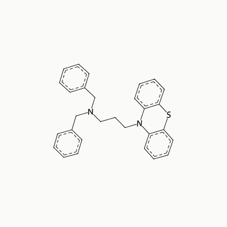 c1ccc(CN(CCCN2c3ccccc3Sc3ccccc32)Cc2ccccc2)cc1